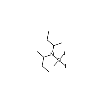 CCC(C)N(C(C)CC)[Si](I)(I)I